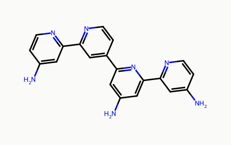 Nc1ccnc(-c2cc(-c3cc(N)cc(-c4cc(N)ccn4)n3)ccn2)c1